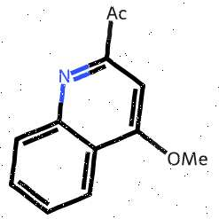 COc1cc(C(C)=O)nc2ccccc12